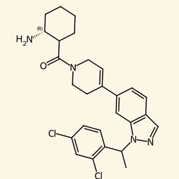 CC(c1ccc(Cl)cc1Cl)n1ncc2ccc(C3=CCN(C(=O)C4CCCC[C@H]4N)CC3)cc21